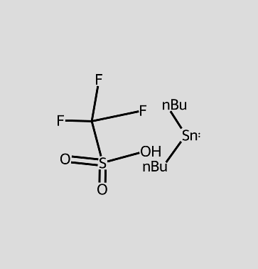 CCC[CH2][Sn][CH2]CCC.O=S(=O)(O)C(F)(F)F